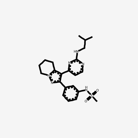 CC(C)CNc1nccc(-c2c(-c3cccc(NS(C)(=O)=O)c3)nn3c2CCCC3)n1